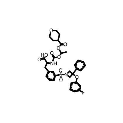 CC(OC(=O)NC(Cc1cccc(S(=O)(=O)N2CC(Oc3cccc(F)c3)(c3ccccc3)C2)c1)C(=O)O)OC(=O)C1CCOCC1